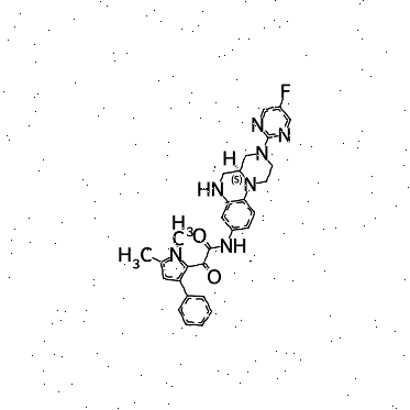 Cc1cc(-c2ccccc2)c(C(=O)C(=O)Nc2ccc3c(c2)NC[C@H]2CN(c4ncc(F)cn4)CCN32)n1C